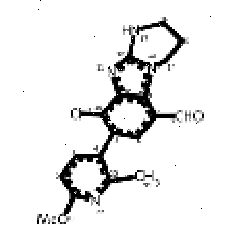 COc1ccc(-c2cc(C=O)c3c(nc4n3CCCN4)c2Cl)c(C)n1